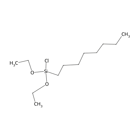 CCCCCCCC[Si](Cl)(OCC)OCC